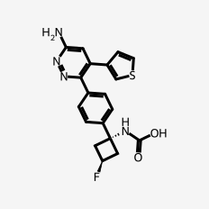 Nc1cc(-c2ccsc2)c(-c2ccc([C@]3(NC(=O)O)C[C@H](F)C3)cc2)nn1